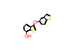 Oc1cccc2c(Oc3ccc4sccc4c3)csc12